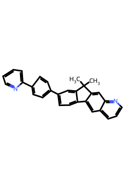 CC1(C)c2cc(-c3ccc(-c4ccccn4)cc3)ccc2-c2cc3cccnc3cc21